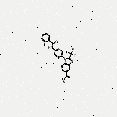 COC(=O)c1ccc2c(c1)nc(C(F)(F)F)n2-c1cnc(NC(=O)c2cccnc2C)cn1